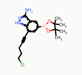 CC1(C)OB(c2cc(C#CCCCCl)c3[nH]nc(N)c3c2)OC1(C)C